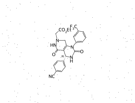 CCOC(=O)CN1CC2=C(C(=O)N1)[C@@H](c1ccc(C#N)cc1)NC(=O)N2c1cccc(C(F)(F)F)c1